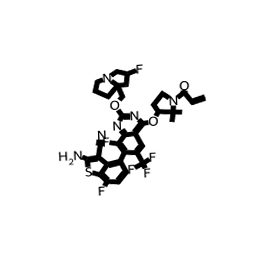 C=CC(=O)N1CCC(Oc2nc(OCC34CCCN3CC(F)C4)nc3c(F)c(-c4ccc(F)c5sc(N)c(C#N)c45)c(C(F)(F)F)cc23)C1(C)C